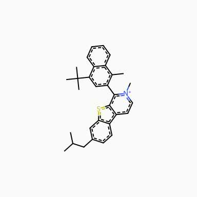 Cc1c(-c2c3sc4cc(CC(C)C)ccc4c3cc[n+]2C)cc(C(C)(C)C)c2ccccc12